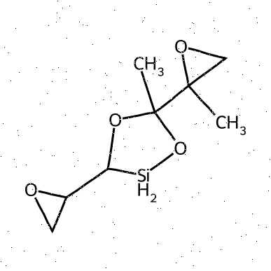 CC1(C2(C)O[SiH2]C(C3CO3)O2)CO1